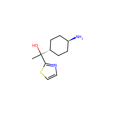 CC(O)(c1nccs1)[C@H]1CC[C@H](N)CC1